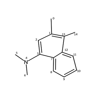 Cc1cc(N(C)C)c2ccccc2c1C